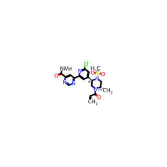 C=CC(=O)N1C[C@@H](c2cc(Cl)nc(-c3cc(C(=O)NC)ncn3)c2)N(S(C)(=O)=O)C[C@@H]1C